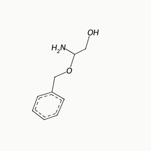 NC(CO)OCc1ccccc1